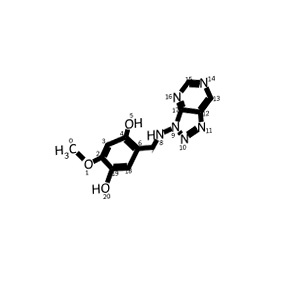 COc1cc(O)c(CNn2nnc3cncnc32)cc1O